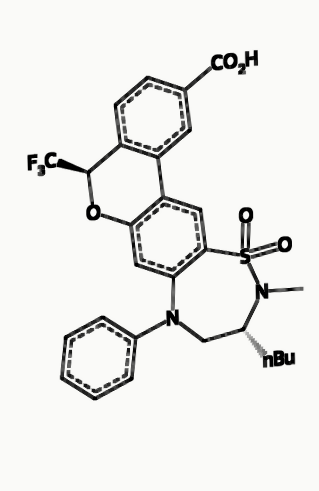 CCCC[C@@H]1CN(c2ccccc2)c2cc3c(cc2S(=O)(=O)N1C)-c1cc(C(=O)O)ccc1[C@H](C(F)(F)F)O3